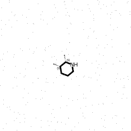 C[C@@H]1NCCC[C@@H]1C